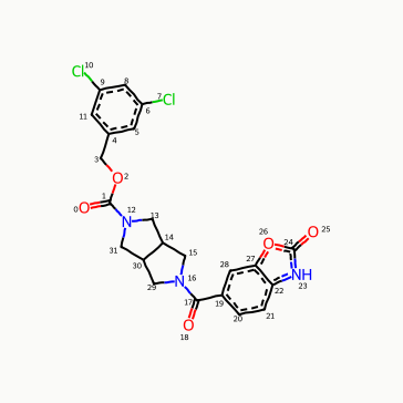 O=C(OCc1cc(Cl)cc(Cl)c1)N1CC2CN(C(=O)c3ccc4[nH]c(=O)oc4c3)CC2C1